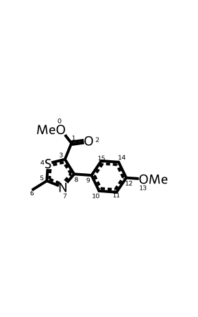 COC(=O)c1sc(C)nc1-c1ccc(OC)cc1